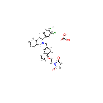 CCc1cc(CN(CC2CCCCC2)C2CCc3cc(F)c(Cl)cc32)ccc1OCCN1C(=O)CCC1=O.O=C(O)O